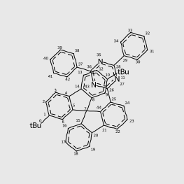 CC(C)(C)c1ccc2c(c1)C1(c3cc(C(C)(C)C)ccc3-2)c2ccccc2-c2cccc(-c3nc(-c4ccccc4)nc(-c4ccccc4)n3)c21